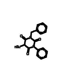 CCCCC1C(=O)N(Cc2ccccc2)C(=O)N(c2ccccc2)C1=O